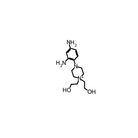 Nc1ccc(N2CC[N+](CCO)(CCO)CC2)c(N)c1